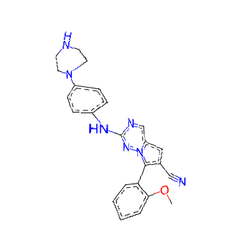 COc1ccccc1-c1c(C#N)cc2cnc(Nc3ccc(N4CCNCC4)cc3)nn12